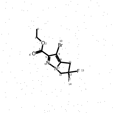 CCOC(=O)c1nn2c(c1Br)CC(F)(F)C2